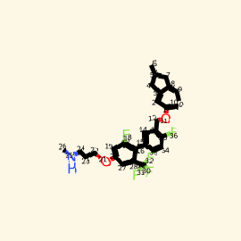 C=C(/C=C1/CC(C)C/C1=C/C)OCc1cc(-c2c(F)cc(OCCCNC)cc2C(F)(F)F)ccc1F